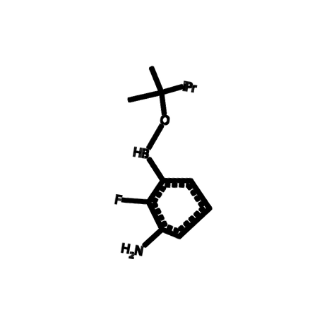 CC(C)C(C)(C)OBc1cccc(N)c1F